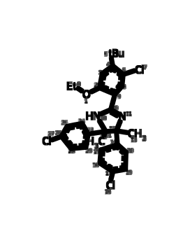 CCOc1cc(C(C)(C)C)c(Cl)cc1C1=NC(C)(c2ccc(Cl)cc2)C(C)(c2ccc(Cl)cc2)N1